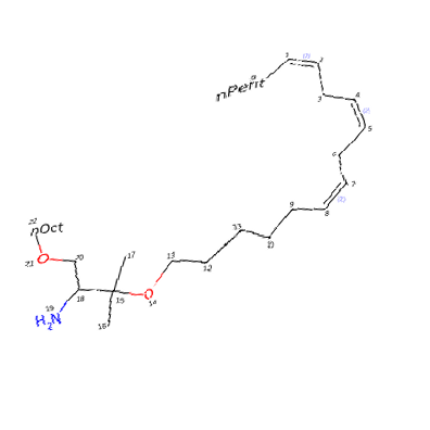 CCCCC/C=C\C/C=C\C/C=C\CCCCCOC(C)(C)C(N)COCCCCCCCC